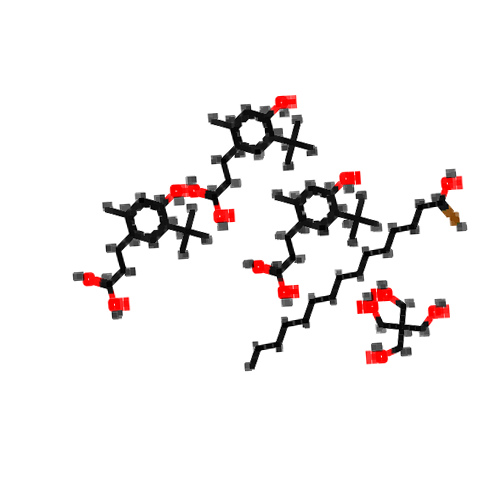 CCCCCCCCCCCCCCC(O)=S.Cc1cc(O)c(C(C)(C)C)cc1CCC(=O)O.Cc1cc(O)c(C(C)(C)C)cc1CCC(=O)O.Cc1cc(O)c(C(C)(C)C)cc1CCC(=O)O.OCC(CO)(CO)CO